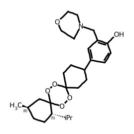 CC(C)[C@@H]1CC[C@@H](C)CC12OOC1(CCC(c3ccc(O)c(CN4CCOCC4)c3)CC1)OO2